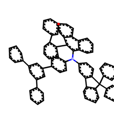 c1ccc(-c2cc(-c3ccccc3)cc(-c3ccc(N(c4ccc5c(c4)-c4ccccc4C5(c4ccccc4)c4ccccc4)c4c(-c5ccccc5-c5ccccc5)c5ccccc5c5ccccc45)cc3)c2)cc1